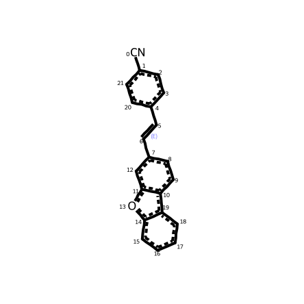 N#Cc1ccc(/C=C/c2ccc3c(c2)oc2ccccc23)cc1